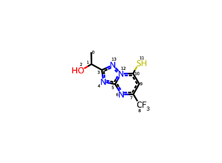 CC(O)c1nc2nc(C(F)(F)F)cc(S)n2n1